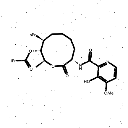 CCC[C@H]1CCCC[C@H](NC(=O)c2nccc(OC)c2O)C(=O)O[C@@H](C)[C@@H]1OC(=O)C(C)C